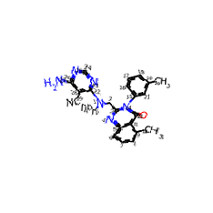 CCCN(Cc1nc2cccc(C)c2c(=O)n1-c1cccc(C)c1)c1ncnc(N)c1C#N